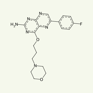 Nc1nc(OCCCN2CCOCC2)c2nc(-c3ccc(F)cc3)cnc2n1